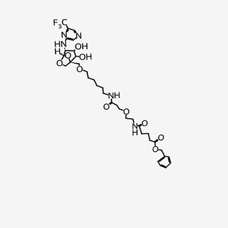 O=C(CCCC(=O)OCc1ccccc1)NCCOCCC(=O)NCCCCCCOC[C@@]12CO[C@@H](O1)[C@H](Nc1cncc(C(F)(F)F)n1)[C@@H](O)[C@H]2O